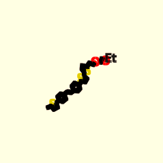 CCOCCOCCc1ccc(-c2ccc(-c3ccc(/C=C/c4ccc(-c5ccc(C)s5)cc4)cc3)s2)s1